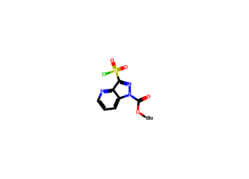 CC(C)(C)OC(=O)n1nc(S(=O)(=O)Cl)c2ncccc21